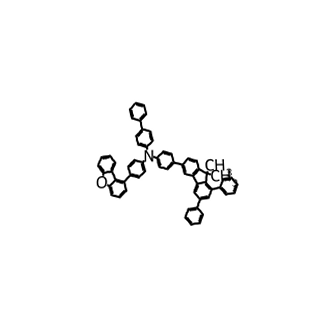 CC1(C)c2ccc(-c3ccc(N(c4ccc(-c5ccccc5)cc4)c4ccc(-c5cccc6oc7ccccc7c56)cc4)cc3)cc2-c2cc(-c3ccccc3)cc(-c3ccccc3)c21